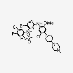 COc1cc(N2CCC(N3CCN(C)CC3)CC2)c(Cl)cc1Nc1ncc(Br)c(Nc2cc(Cl)c(F)cc2NS(C)(=O)=O)n1